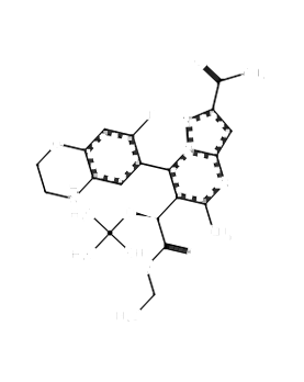 CCOC(=O)[C@@H](OC(C)(C)C)c1c(C)nc2cc(C(C)=O)nn2c1-c1cc2c(cc1F)OCCN2